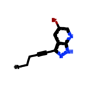 C[C](C)CCC#Cc1n[nH]c2ncc(Br)cc12